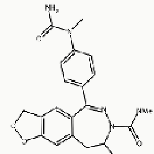 CNC(=O)N1N=C(c2ccc(N(C)C(N)=O)cc2)c2cc3c(cc2CC1C)OOC3